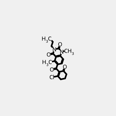 CCCn1c(=O)c2c(C)c(C(=O)C3=C(Cl)CCCC3=O)ccc2n(C)c1=O